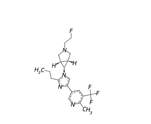 CCCc1nc(-c2cnc(C)c(C(F)(F)F)c2)cn1[C@H]1[C@@H]2CN(CCF)C[C@@H]21